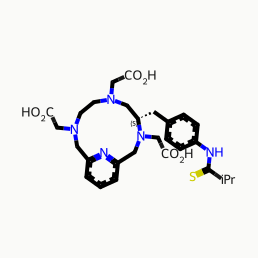 CC(C)C(=S)Nc1ccc(C[C@H]2CN(CC(=O)O)CCN(CC(=O)O)Cc3cccc(n3)CN2CC(=O)O)cc1